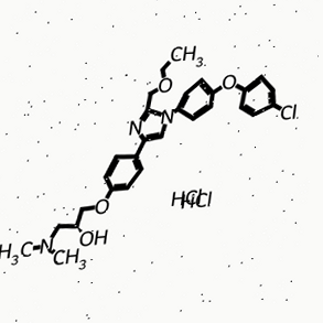 CCOCc1nc(-c2ccc(OC[C@H](O)CN(C)C)cc2)cn1-c1ccc(Oc2ccc(Cl)cc2)cc1.Cl.Cl